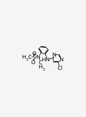 CN(c1ccccc1Nc1cc(Cl)ncn1)S(C)(=O)=O